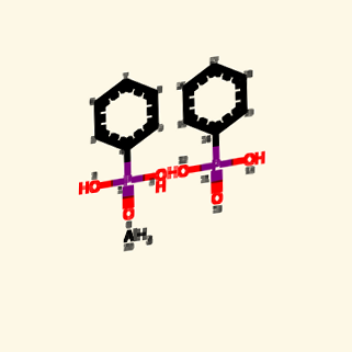 O=P(O)(O)c1ccccc1.O=P(O)(O)c1ccccc1.[AlH3]